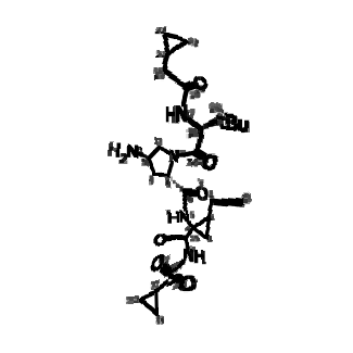 C=CC1CC1(NC(=O)[C@@H]1C[C@@H](N)CN1C(=O)[C@@H](NC(=O)CC1CC1)C(C)(C)C)C(=O)NS(=O)(=O)C1CC1